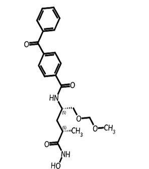 COCOC[C@H](C[C@H](C)C(=O)NO)NC(=O)c1ccc(C(=O)c2ccccc2)cc1